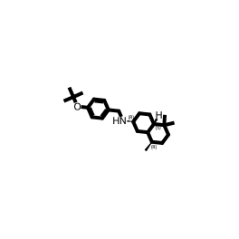 C[C@@H]1CCC(C)(C)[C@H]2CC[C@@H](NCc3ccc(OC(C)(C)C)cc3)CC12